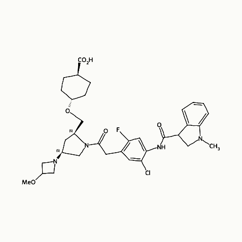 COC1CN([C@H]2C[C@@H](CO[C@H]3CC[C@H](C(=O)O)CC3)N(C(=O)Cc3cc(Cl)c(NC(=O)C4CN(C)c5ccccc54)cc3F)C2)C1